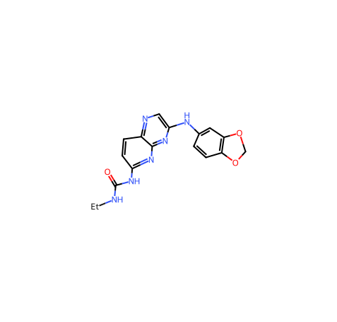 CCNC(=O)Nc1ccc2ncc(Nc3ccc4c(c3)OCO4)nc2n1